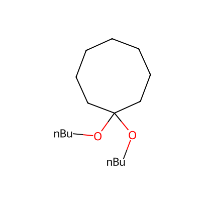 CCCCOC1(OCCCC)CCCCCCC1